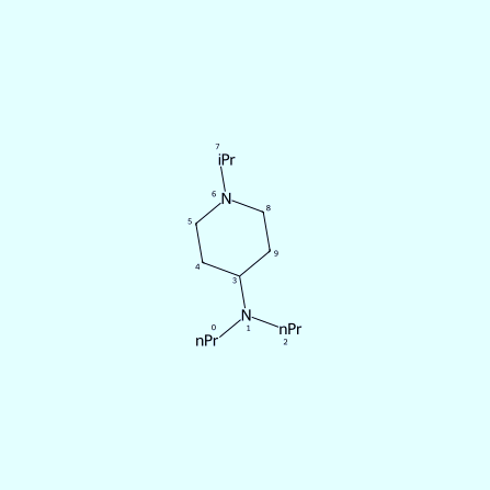 CCCN(CCC)C1CCN(C(C)C)CC1